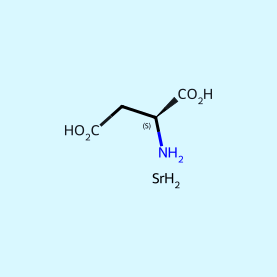 N[C@@H](CC(=O)O)C(=O)O.[SrH2]